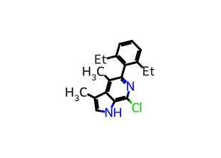 CCc1cccc(CC)c1-c1nc(Cl)c2[nH]cc(C)c2c1C